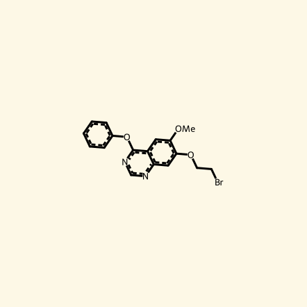 COc1cc2c(Oc3ccccc3)ncnc2cc1OCCBr